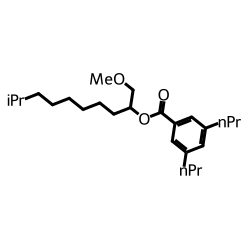 CCCc1cc(CCC)cc(C(=O)OC(CCCCCCC(C)C)COC)c1